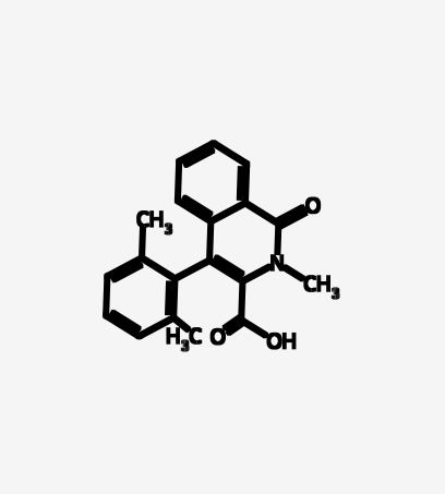 Cc1cccc(C)c1-c1c(C(=O)O)n(C)c(=O)c2ccccc12